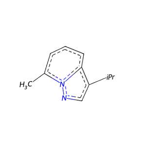 Cc1cccc2c(C(C)C)cnn12